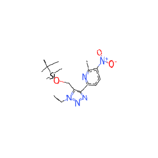 CCn1nnc(-c2ccc([N+](=O)[O-])c(C)n2)c1CO[Si](C)(C)C(C)(C)C